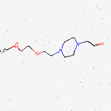 COCCOCCN1CCN(CC=O)CC1